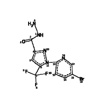 NNC(=O)c1cc(C(F)(F)F)n(-c2ccc(Br)cn2)n1